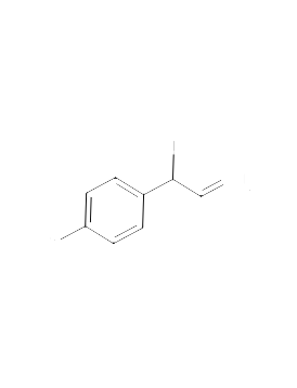 C=CC(I)c1ccc(Br)cc1